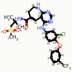 CC(C)(CS(C)(=O)=O)NC(=O)C1=Cc2c(ncnc2Nc2ccc(Oc3cccc(C(F)(F)F)c3)c(Cl)c2)NCC1